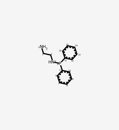 NCCNP(c1ccccc1)c1ccccc1